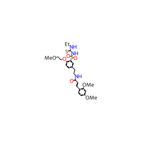 CCNC(=S)NS(=O)(=O)c1cc(CCNC(=O)C=Cc2ccc(OC)cc2OC)ccc1OCCOC